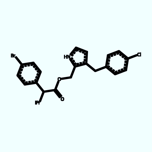 CC(C)C(C(=O)OCc1[nH]ccc1Cc1ccc(Cl)cc1)c1ccc(Br)cc1